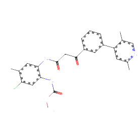 Cc1cc(-c2cccc(C(=O)CC(=O)Nc3cc(C(F)(F)F)c(Cl)cc3NC(=O)OC(C)(C)C)c2)c(C)cn1